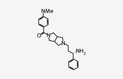 CNc1ccc(C(=O)N2CC3CN(CC[C@H](N)c4ccccc4)CC3C2)cc1